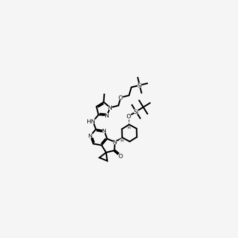 Cc1cc(Nc2ncc3c(n2)N([C@@H]2CCC[C@@H](O[Si](C)(C)C(C)(C)C)C2)C(=O)C32CC2)nn1COCC[Si](C)(C)C